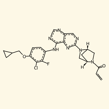 C=CC(=O)N1C[C@@H]2C[C@H]1CN2c1ncc2ncnc(Nc3ccc(OCC4CC4)c(Cl)c3F)c2n1